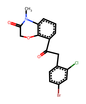 CN1C(=O)COc2c(C(=O)Cc3ccc(Br)cc3Cl)cccc21